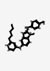 CCCCCc1cc(Oc2ccc3c(c2)nc(Nc2ccc(Br)cc2)n3C)ccn1